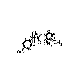 CC(=O)c1ccc(NC(=O)Cn2cc[n+](C)c2C)cc1.[Cl-]